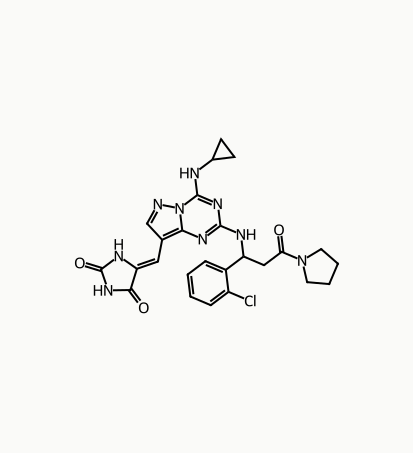 O=C1NC(=O)/C(=C/c2cnn3c(NC4CC4)nc(NC(CC(=O)N4CCCC4)c4ccccc4Cl)nc23)N1